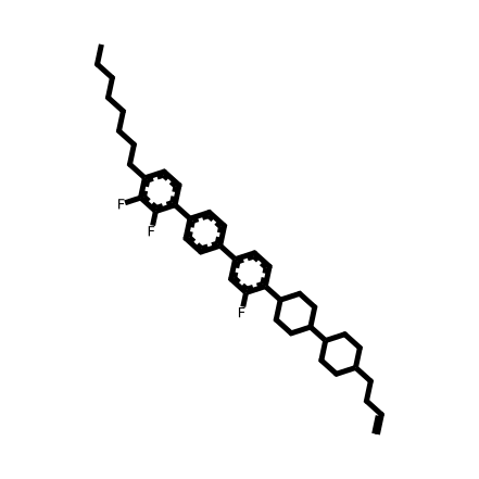 C=CCCC1CCC(C2CCC(c3ccc(-c4ccc(-c5ccc(CCCCCCCC)c(F)c5F)cc4)cc3F)CC2)CC1